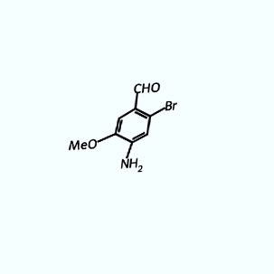 COc1cc(C=O)c(Br)cc1N